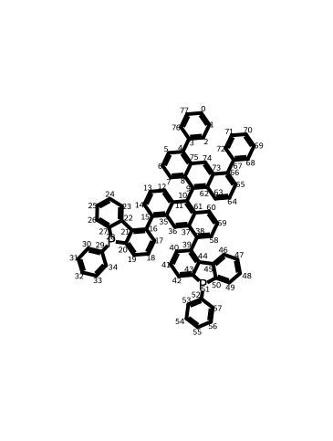 c1ccc(-c2cccc3c(-c4c5cccc(-c6cccc7c6c6ccccc6p7-c6ccccc6)c5cc5c(-c6cccc7c6c6ccccc6p7-c6ccccc6)cccc45)c4cccc(-c5ccccc5)c4cc23)cc1